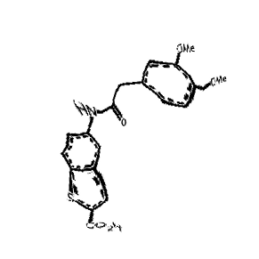 COc1ccc(CC(=O)Nc2ccc3sc(C(=O)O)cc3c2)cc1OC